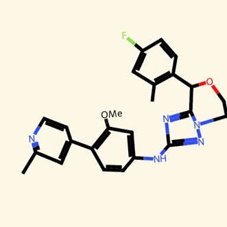 COc1cc(Nc2nc3n(n2)CCOC3c2ccc(F)cc2C)ccc1-c1ccnc(C)c1